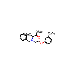 COC(=O)C(OC)N(CCOc1cccc(OC)c1)Cc1ccccc1